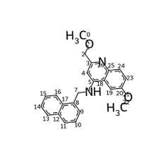 COCc1cc(NCc2cccc3ccccc23)c2cc(OC)ccc2n1